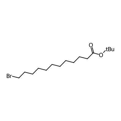 CC(C)(C)OC(=O)CCCCCCCCCCCBr